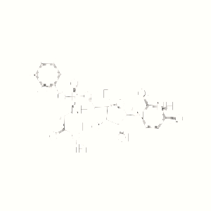 CC(C)OC(=O)[C@H](C)NP(=O)(OC[C@@]1(F)OC(n2ccc(=O)[nH]c2=O)[C@H](O)[C@@H]1O)Oc1ccccc1